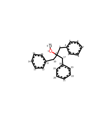 [Ti][O]C(Cc1ccccc1)(Cc1ccccc1)Cc1ccccc1